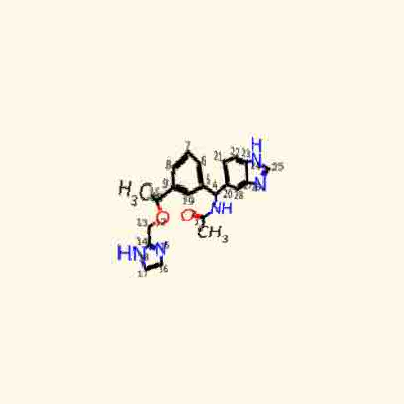 CC(=O)NC(c1cccc(C(C)OCc2ncc[nH]2)c1)c1ccc2[nH]cnc2c1